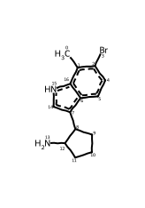 Cc1c(Br)ccc2c(C3CCCC3N)c[nH]c12